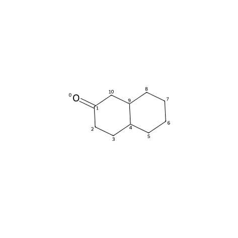 O=C1CCC2CCCCC2C1